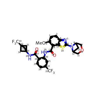 COc1ccc2nc(N3C4COCC3C4)sc2c1C(=O)Nc1cc(C(F)(F)F)ccc1C(=O)NC12CC(C(F)(F)F)(C1)C2